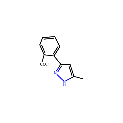 Cc1cc(-c2ccccc2C(=O)O)n[nH]1